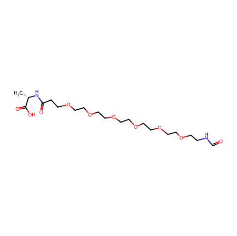 C[C@H](NC(=O)CCOCCOCCOCCOCCOCCOCCNC=O)C(=O)O